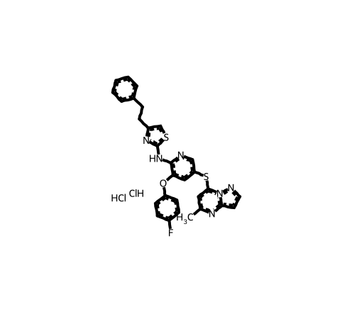 Cc1cc(Sc2cnc(Nc3nc(CCc4ccccc4)cs3)c(Oc3ccc(F)cc3)c2)n2nccc2n1.Cl.Cl